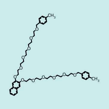 Cc1ccc(COCCOCCOCCOCCOCCOc2cc3ccccc3cc2OCCOCCOCCOCCOCCOCc2ccc(C)cc2)cc1